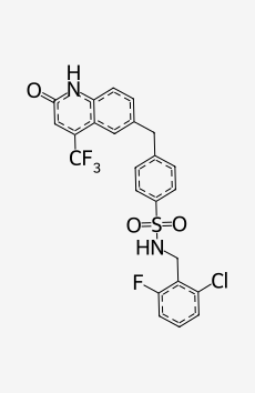 O=c1cc(C(F)(F)F)c2cc(Cc3ccc(S(=O)(=O)NCc4c(F)cccc4Cl)cc3)ccc2[nH]1